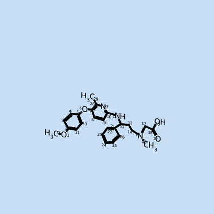 COc1ccc(Oc2ccc(NC(CCN(C)CC(=O)O)c3ccccc3)nc2C)cc1